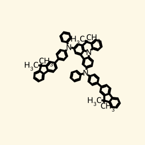 CC1(C)c2ccccc2-c2ccc(-c3ccc(N(c4ccccc4)c4ccc5c(c4)c4cc(N(c6ccccc6)c6ccc(-c7ccc8c(c7)C(C)(C)c7ccccc7-8)cc6)cc6c4n5-c4ccccc4C6(C)C)cc3)cc21